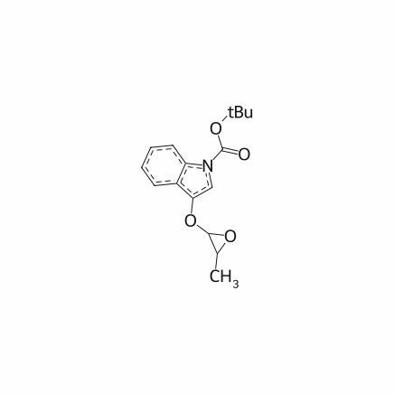 CC1OC1Oc1cn(C(=O)OC(C)(C)C)c2ccccc12